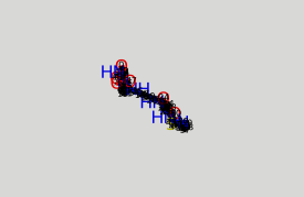 O=C1CCC(N2C(=O)c3cccc(NCCCCCCCCNC(=O)c4ccc(C(=O)Nc5nc(-c6ccccn6)cs5)cc4)c3C2=O)C(=O)N1